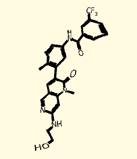 Cc1ccc(NC(=O)c2cccc(C(F)(F)F)c2)cc1-c1cc2cnc(NCCO)cc2n(C)c1=O